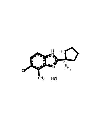 Cc1c(Cl)ccc2[nH]c([C@]3(C)CCCN3)nc12.Cl